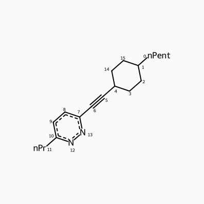 CCCCCC1CCC(C#Cc2ccc(CCC)nn2)CC1